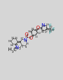 CN(CC1CCN(C(=O)Oc2ccc(Oc3ccc(C(F)(F)F)cn3)cc2)CC1)C1CCCCC1